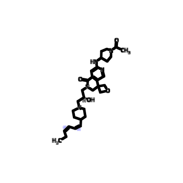 CC/C=C\C=C/C1CCN(C[C@@H](O)CN2CC3(COC3)c3cnc(NC4CCN(C(C)=O)CC4)cc3C2=O)CC1